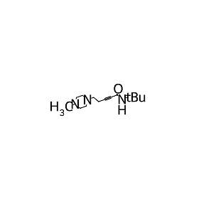 CN1CCN(CCC#CC(=O)NC(C)(C)C)CC1